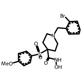 COc1ccc(S(=O)(=O)C2(C(=O)NO)CCN(Cc3ccccc3Br)CC2)cc1